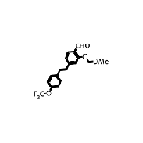 COCOc1cc(CCc2ccc(OC(F)(F)F)cc2)ccc1C=O